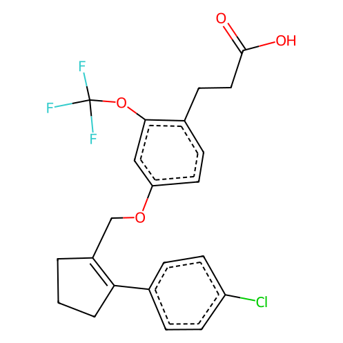 O=C(O)CCc1ccc(OCC2=C(c3ccc(Cl)cc3)CCC2)cc1OC(F)(F)F